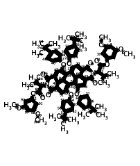 COc1cc(OC)cc(OC(=O)C(C(C)C)N2C(=O)c3cc(Oc4ccc(C(C)(C)C)cc4)c4c5c(Oc6ccc(C(C)(C)C)cc6)cc6c7c(cc(Oc8ccc(C(C)(C)C)cc8)c(c8c(Oc9ccc(C(C)(C)C)cc9)cc(c3c48)C2=O)c75)C(=O)N(C(C(=O)Oc2cc(OC)cc(OC)c2)C(C)C)C6=O)c1